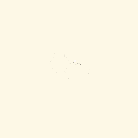 CN1CCCN/C1=N/C#N